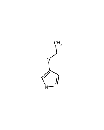 CCOC1=C[N]C=C1